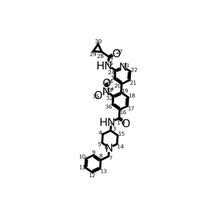 O=C(NC1CCN(Cc2ccccc2)CC1)c1ccc(-c2ccnc(NC(=O)C3CC3)c2)c([N+](=O)[O-])c1